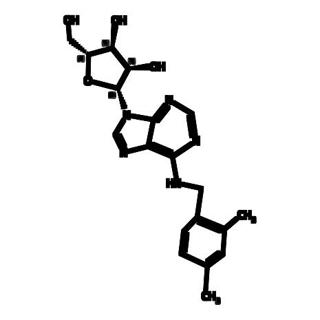 Cc1ccc(CNc2ncnc3c2ncn3[C@@H]2O[C@H](CO)[C@@H](O)[C@H]2O)c(C)c1